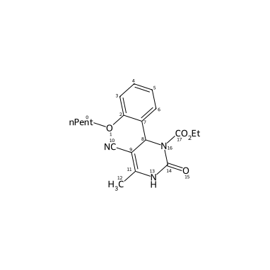 CCCCCOc1ccccc1C1C(C#N)=C(C)NC(=O)N1C(=O)OCC